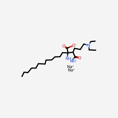 CCCCCCCCCCCCC(N)(C(=O)[O-])C(CCCN(CC)CC)C([NH-])=O.[Na+].[Na+]